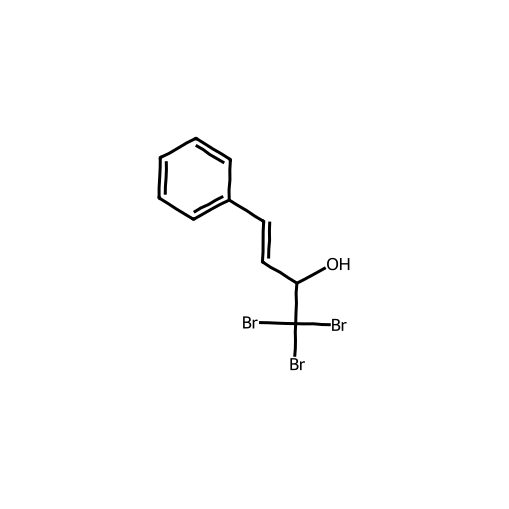 OC(C=Cc1ccccc1)C(Br)(Br)Br